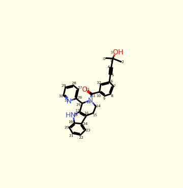 CC(C)(O)C#Cc1cccc(C(=O)N2CCc3c([nH]c4ccccc34)C2c2ccccn2)c1